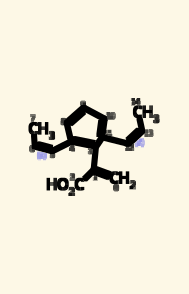 C=C(C(=O)O)c1c(/C=C\C)cccc1/C=C\C